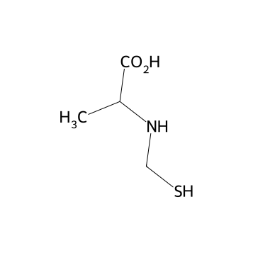 CC(NCS)C(=O)O